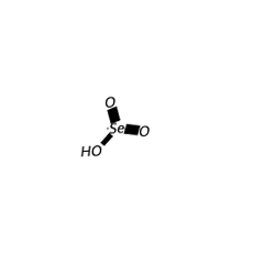 O=[Se](=O)O